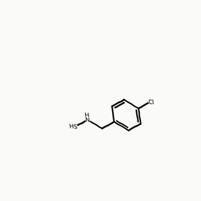 SNCc1ccc(Cl)cc1